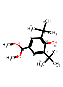 COC(OC)c1cc(C(C)(C)C)c(O)c(C(C)(C)C)c1